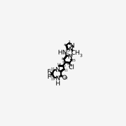 Cn1nccc1Nc1cc(-c2cc3n(c2)CC(F)(F)CNC3=O)c(Cl)cn1